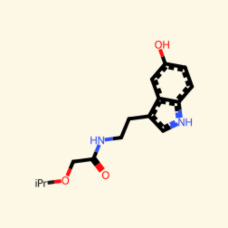 CC(C)OCC(=O)NCCc1c[nH]c2ccc(O)cc12